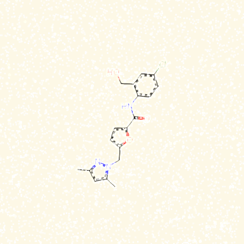 Cc1cc(C)n(Cc2ccc(C(=O)Nc3ccc(Cl)cc3CO)o2)n1